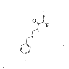 O=C(CCSCc1ccccc1)C(F)F